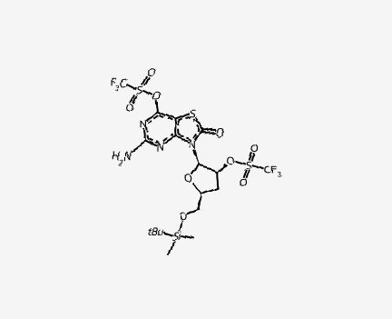 CC(C)(C)[Si](C)(C)OC[C@@H]1C[C@H](OS(=O)(=O)C(F)(F)F)[C@H](n2c(=O)sc3c(OS(=O)(=O)C(F)(F)F)nc(N)nc32)O1